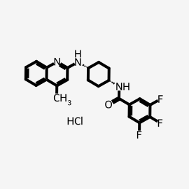 Cc1cc(N[C@H]2CC[C@@H](NC(=O)c3cc(F)c(F)c(F)c3)CC2)nc2ccccc12.Cl